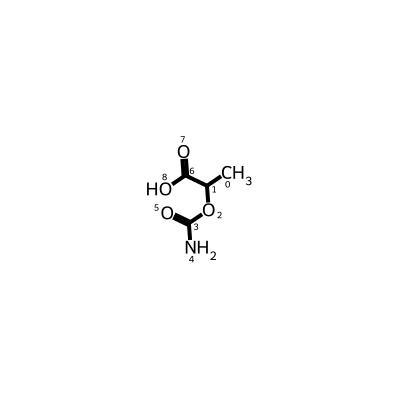 CC(OC(N)=O)C(=O)O